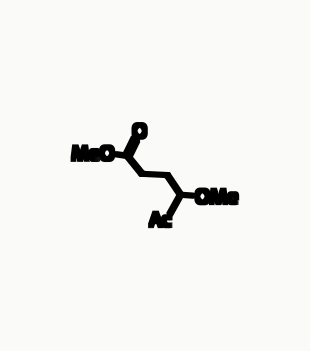 COC(=O)CCC(OC)C(C)=O